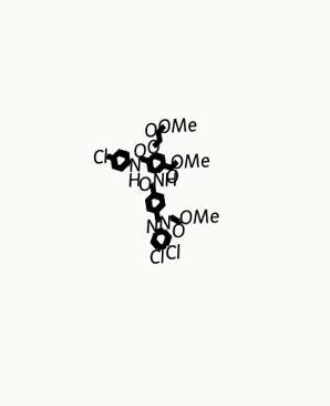 COC(=O)COc1cc(C(=O)OC)c(NC(=O)c2ccc(-c3nc4cc(Cl)c(Cl)cc4n3CC(=O)OC)cc2)cc1C(=O)Nc1ccc(Cl)cc1